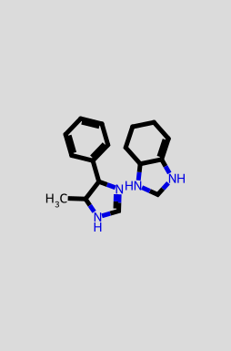 C1=C2NCNC2CCC1.CC1NC=NC1c1ccccc1